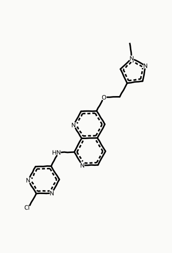 Cn1cc(COc2cnc3c(Nc4cnc(Cl)nc4)nccc3c2)cn1